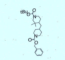 CC(C)(C)OC(=O)N1CCC(CC2CCN(C(=O)OCc3ccccc3)CC2)C(C)(C)C1